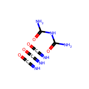 N=C=O.N=C=O.N=C=O.NC(=O)NC(N)=O